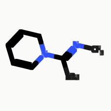 CCCCC(=NC(F)(F)F)N1C=CC=CC1